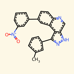 Cc1cccc(-c2n[nH]c3cnc4ccc(-c5cccc([N+](=O)[O-])c5)cc4c23)c1